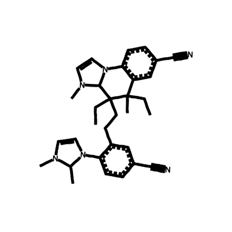 CCC1(C)c2cc(C#N)ccc2N2C=CN(C)C2C1(CC)CCc1cc(C#N)ccc1N1C=CN(C)C1C